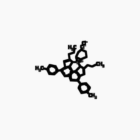 CCCC1=Cc2c(-c3ccc(C)cc3)cccc2[CH]1[Ti+2]1([CH]2C(CCC)=Cc3c(-c4ccc(C)cc4)cccc32)[CH]2CCCC[CH]21.[Cl-].[Cl-]